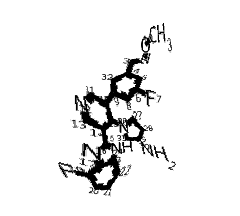 CO/N=C/c1cc(F)cc(-c2cncc(-c3nc4c(F)cccc4[nH]3)c2N2CC[C@H](N)C2)c1